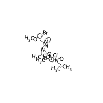 COc1ccc(Br)cc1CC1C(CN(CCOc2c(OC)ccc(N(C=O)CCC(C)C)c2Cl)CC(C)C)N=C2C=CC=CN21